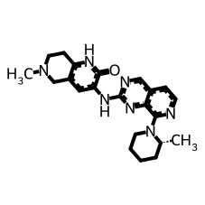 C[C@@H]1CCCCN1c1nccc2cnc(Nc3cc4c([nH]c3=O)CCN(C)C4)nc12